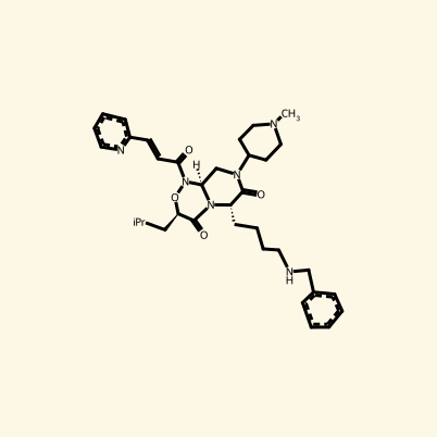 CC(C)C[C@H]1ON(C(=O)/C=C/c2ccccn2)[C@H]2CN(C3CCN(C)CC3)C(=O)[C@H](CCCCNCc3ccccc3)N2C1=O